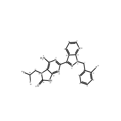 Nc1nc(-c2nn(Cc3ccccc3F)c3ncccc23)nc2[nH]c(=O)n(CC(F)F)c12